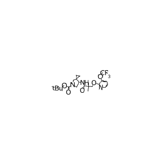 CC(C)(C)OC(=O)N1C[C@H](NC(=O)C(C)(C)COc2ncccc2OC(F)(F)F)C2(CC2)C1